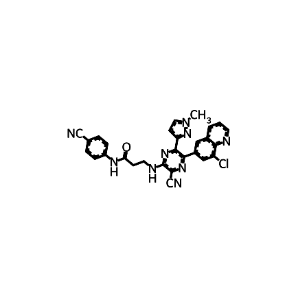 Cn1ccc(-c2nc(NCCC(=O)Nc3ccc(C#N)cc3)c(C#N)nc2-c2cc(Cl)c3ncccc3c2)n1